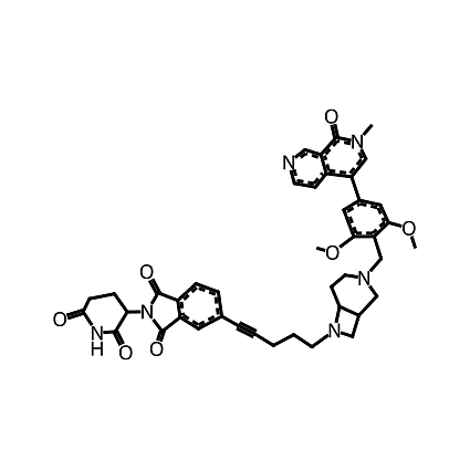 COc1cc(-c2cn(C)c(=O)c3cnccc23)cc(OC)c1CN1CCC2C(C1)CN2CCCC#Cc1ccc2c(c1)C(=O)N(C1CCC(=O)NC1=O)C2=O